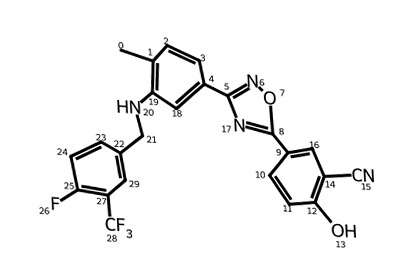 Cc1ccc(-c2noc(-c3ccc(O)c(C#N)c3)n2)cc1NCc1ccc(F)c(C(F)(F)F)c1